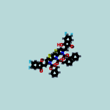 O=C1C(=Cc2cc3sc4c5sc6cc(/C=C7/C(=O)c8cc(F)c(F)cc8C7O)n(C(=O)OCc7ccccc7)c6c5n(C(=O)OCc5ccccc5)c4c3n2C(=O)OCc2ccccc2)C(=O)c2cc(F)c(F)cc21